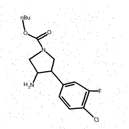 CCCCOC(=O)N1CC(N)C(c2ccc(Cl)c(F)c2)C1